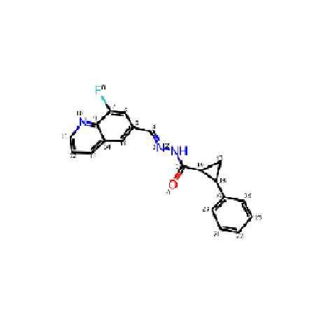 O=C(NN=Cc1cc(F)c2ncccc2c1)C1CC1c1ccccc1